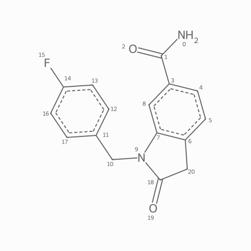 NC(=O)c1ccc2c(c1)N(Cc1ccc(F)cc1)C(=O)C2